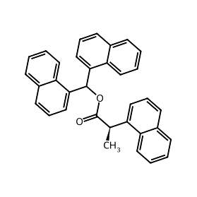 C[C@@H](C(=O)OC(c1cccc2ccccc12)c1cccc2ccccc12)c1cccc2ccccc12